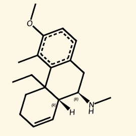 CCC12CCC=C[C@H]1[C@H](NC)Cc1ccc(OC)c(C)c12